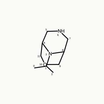 CC(C)N1C2CNCC1COC2